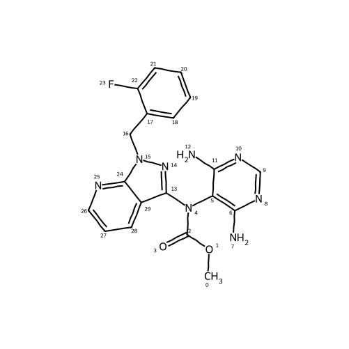 COC(=O)N(c1c(N)ncnc1N)c1nn(Cc2ccccc2F)c2ncccc12